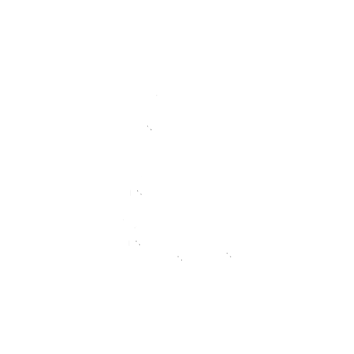 C/C(Nc1ccc(N2CCOCC2)cc1)=C1/C(=O)Nc2cnc(-c3cnccc3C)cc21